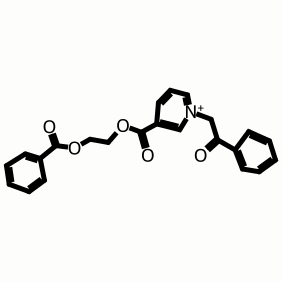 O=C(C[n+]1cccc(C(=O)OCCOC(=O)c2ccccc2)c1)c1ccccc1